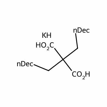 CCCCCCCCCCCC(CCCCCCCCCCC)(C(=O)O)C(=O)O.[KH]